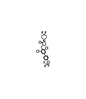 O=C1C(Cc2c(Cl)cc(-c3ccc(OC(F)(F)F)cc3)cc2Cl)CCN1C1CCC(F)(F)CC1